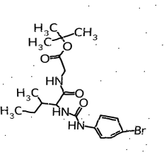 CCC(C)C(NC(=O)Nc1ccc(Br)cc1)C(=O)NCC(=O)OC(C)(C)C